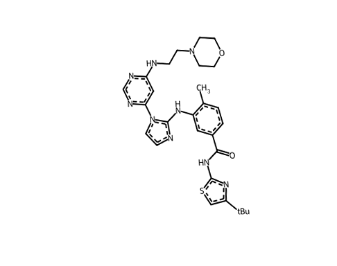 Cc1ccc(C(=O)Nc2nc(C(C)(C)C)cs2)cc1Nc1nccn1-c1cc(NCCN2CCOCC2)ncn1